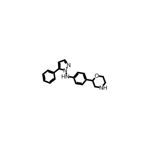 c1ccc(-c2ccnn2Nc2ccc(C3CNCCO3)cc2)cc1